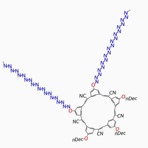 CCCCCCCCCCOc1cc2cc(c1)/C(C#N)=C/c1cc(OCCCCCCCCCC)cc(c1)/C(C#N)=C/c1cc(ON=NN=NN=NN=NN=NN=NN=NN=NN=NN=NC)cc(c1)/C(C#N)=C/c1cc(ON=NN=NN=NN=NN=NN=NN=NN=NN=NN=NC)cc(c1)/C(C#N)=C/c1cc(OCCCCCCCCCC)cc(c1)/C(C#N)=C/2